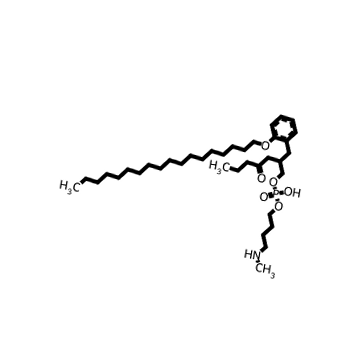 CCCCCCCCCCCCCCCCCCOc1ccccc1CC(COP(=O)(O)OCCCCNC)CC(=O)CCC